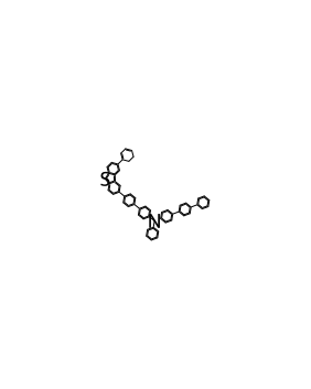 C1=CCCC(c2ccc3sc4ccc(-c5ccc(-c6ccc(N(c7ccccc7)c7ccc(-c8ccc(-c9ccccc9)cc8)cc7)cc6)cc5)cc4c3c2)=C1